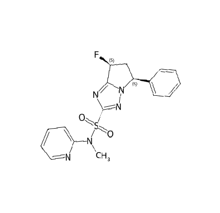 CN(c1ccccn1)S(=O)(=O)c1nc2n(n1)[C@H](c1ccccc1)C[C@@H]2F